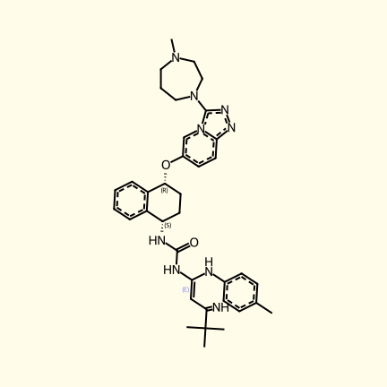 Cc1ccc(N/C(=C\C(=N)C(C)(C)C)NC(=O)N[C@H]2CC[C@@H](Oc3ccc4nnc(N5CCCN(C)CC5)n4c3)c3ccccc32)cc1